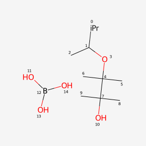 CC(C)C(C)OC(C)(C)C(C)(C)O.OB(O)O